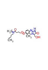 CCCCCN(C)C(=O)CCCOOc1ccc2c(c1C)CN1C(=N2)NC(=O)C1CO